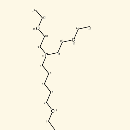 CCOCCCCCP(CCOCC)CCOCC